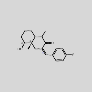 CC1C(=O)/C(=C\c2ccc(F)cc2)C[C@@]2(C)C1CCC[C@@H]2O